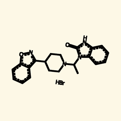 Br.CC(N1CCC(c2noc3ccccc23)CC1)n1c(=O)[nH]c2ccccc21